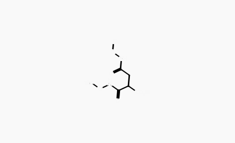 CCOC(=O)C(CC(=O)NOC(C)(C)C)C(=O)NOC(C)(C)C